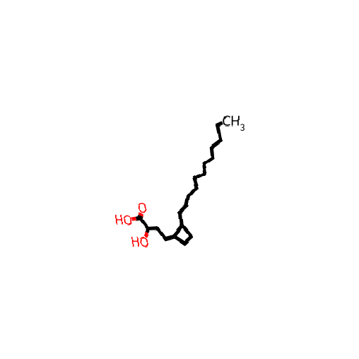 CCCCCCCCCCCCC1CC[C]1CCC(O)C(=O)O